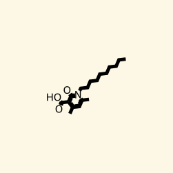 CCCCCCCCCCn1c(C)cc(C)c(C(=O)O)c1=O